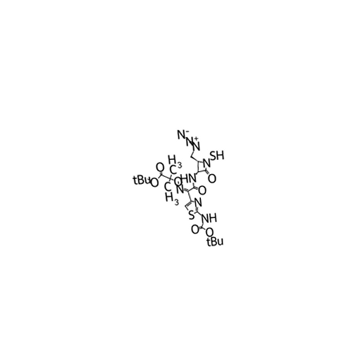 CC(C)(C)OC(=O)Nc1nc(/C(=N/OC(C)(C)C(=O)OC(C)(C)C)C(=O)N[C@@H]2C(=O)N(S)[C@@H]2CN=[N+]=[N-])cs1